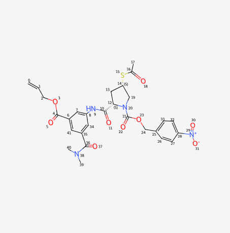 C=CCOC(=O)c1cc(NC(=O)[C@@H]2C[C@H](SC(C)=O)CN2C(=O)OCc2ccc([N+](=O)[O-])cc2)cc(C(=O)N(C)C)c1